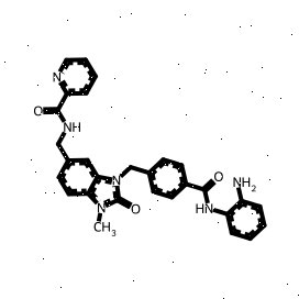 Cn1c(=O)n(Cc2ccc(C(=O)Nc3ccccc3N)cc2)c2cc(CNC(=O)c3ccccn3)ccc21